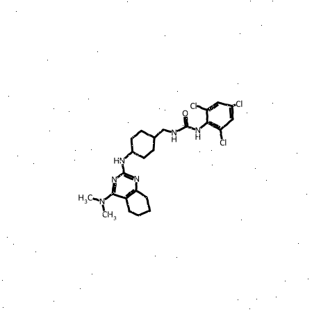 CN(C)c1nc(NC2CCC(CNC(=O)Nc3c(Cl)cc(Cl)cc3Cl)CC2)nc2c1CCCC2